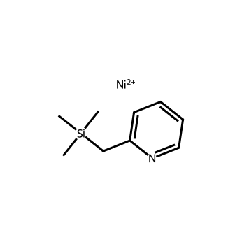 C[Si](C)(C)Cc1ccccn1.[Ni+2]